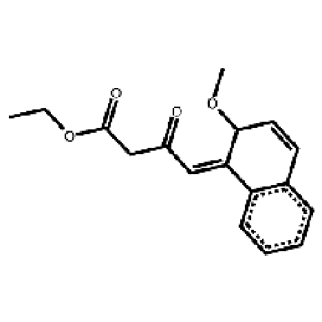 CCOC(=O)CC(=O)C=C1c2ccccc2C=CC1OC